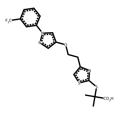 CC(C)(Sc1nc(CCOc2cnn(-c3cccc(C(F)(F)F)c3)c2)cs1)C(=O)O